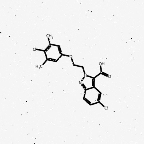 Cc1cc(OCCn2nc3ccc(Cl)cc3c2C(=O)O)cc(C)c1Cl